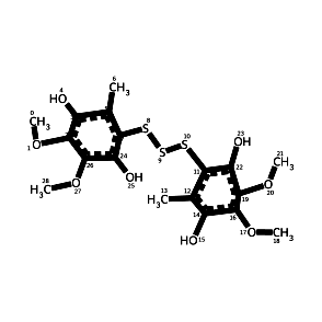 COc1c(O)c(C)c(SSSc2c(C)c(O)c(OC)c(OC)c2O)c(O)c1OC